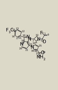 C=C(F)C(=O)N1CC(n2nc(-c3ccc(C(F)(F)F)cc3)c3nccc(-n4ccc(C(N)=O)c4)c32)C1